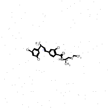 C[C@H](CSCC(F)(F)F)NC(=O)c1ccc(/C=C/C(c2cc(Cl)cc(Cl)c2)C(F)(F)F)cc1Cl